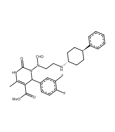 COC(=O)C1=C(C)NC(=O)N(N(C=O)CCN[C@H]2CC[C@H](c3ccccc3)CC2)C1c1ccc(F)c(F)c1